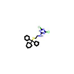 Clc1nc(Cl)nc(NCCSC(c2ccccc2)(c2ccccc2)c2ccccc2)n1